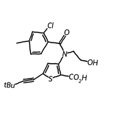 Cc1ccc(C(=O)N(CCO)c2cc(C#CC(C)(C)C)sc2C(=O)O)c(Cl)c1